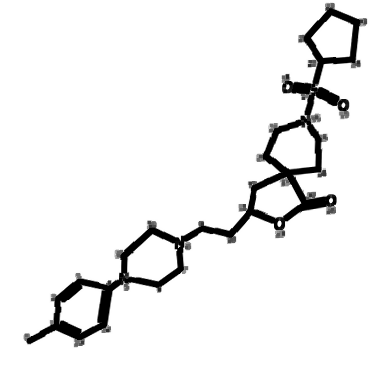 Cc1ccc(N2CCN(CCC3CC4(CCN(S(=O)(=O)C5CCCC5)CC4)C(=O)O3)CC2)cc1